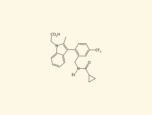 CCN(Cc1cc(C(F)(F)F)ccc1-c1c(C)n(CC(=O)O)c2ccccc12)C(=O)C1CC1